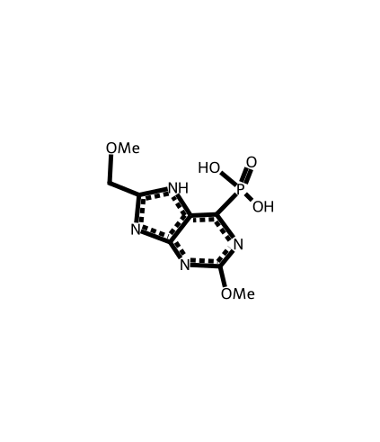 COCc1nc2nc(OC)nc(P(=O)(O)O)c2[nH]1